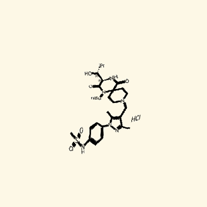 CCCCN1C(=O)[C@@H]([C@H](O)C(C)C)NC(=O)C12CCN(Cc1c(C)nn(-c3ccc(NS(C)(=O)=O)cc3)c1C)CC2.Cl